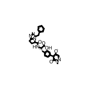 COc1cnn(C)c(=O)c1-c1ccc(C[C@H](NC(=O)C2CCc3nnc(Cc4ccccc4)n32)C(=O)O)cc1